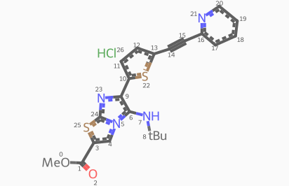 COC(=O)c1cn2c(NC(C)(C)C)c(-c3ccc(C#Cc4ccccn4)s3)nc2s1.Cl